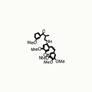 COc1cccc(C(=O)C(C)CNc2cc(OC)c(O)cc2/C=C\c2cc(OC)c(OC)c(OC)c2)c1